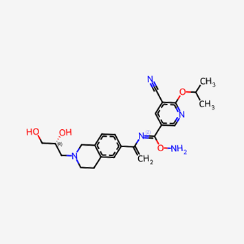 C=C(/N=C(\ON)c1cnc(OC(C)C)c(C#N)c1)c1ccc2c(c1)CCN(C[C@@H](O)CO)C2